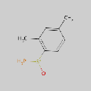 Cc1ccc([S+]([O-])P)c(C)c1